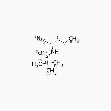 CCC[C@@H](C#N)N[S@@+]([O-])C(C)(C)C